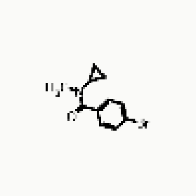 CN(C(=O)c1ccc(Br)cc1)C1CC1